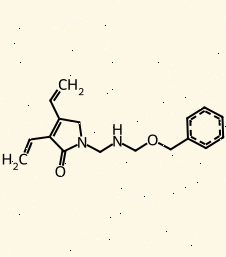 C=CC1=C(C=C)C(=O)N(CNCOCc2ccccc2)C1